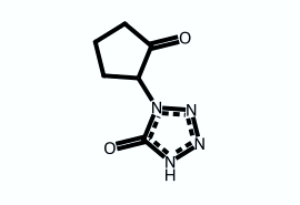 O=C1CCCC1n1nn[nH]c1=O